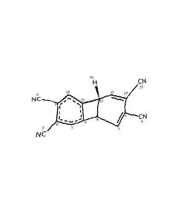 N#CC1=CC2c3cc(C#N)c(C#N)cc3[C@@H]2C=C1C#N